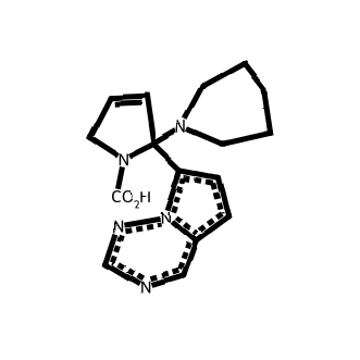 O=C(O)N1CC=CC1(c1ccc2cncnn12)N1CCCCC1